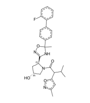 Cc1cc(C(C(=O)N2C[C@H](O)C[C@H]2C2=NOC(C)(c3ccc(-c4ccccc4F)cc3)N2)C(C)C)on1